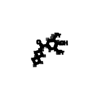 CC(C)c1cc(C(=O)N2CC3(CCC3)C2)cc(C(C)C)c1O